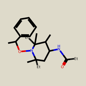 CCC(=O)NC1CC(C)(CC)N(OC(C)c2ccccc2)C(C)(CC)C1C